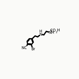 N#Cc1ccc(CCNCCNC(=O)O)cc1Br